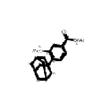 COC(=O)c1ccc(C23CC4CC(CC(C4)C2)C3)c(OC)c1